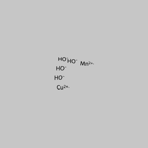 [Cu+2].[Mn+2].[OH-].[OH-].[OH-].[OH-]